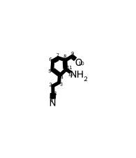 N#CCCc1cccc(C=O)c1N